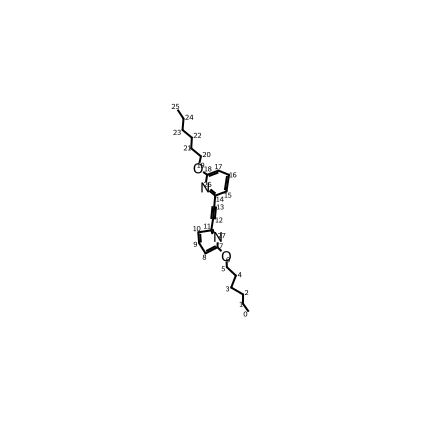 CCCCCCOc1cccc(C#Cc2cccc(OCCCCCC)n2)n1